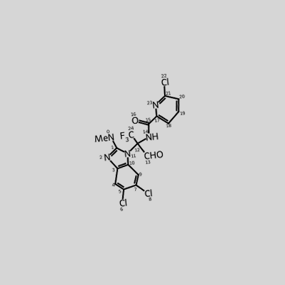 CNc1nc2cc(Cl)c(Cl)cc2n1C(C=O)(NC(=O)c1cccc(Cl)n1)C(F)(F)F